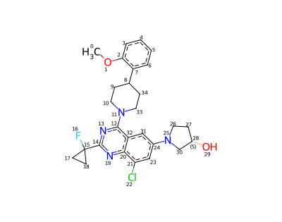 COc1ccccc1C1CCN(c2nc(C3(F)CC3)nc3c(Cl)cc(N4CC[C@H](O)C4)cc23)CC1